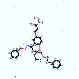 O=C(/C=C/c1ccc2c(c1)/C(=N/OCc1ccccc1)CC1(CCCN(CCc3ccccc3)C1)O2)NO